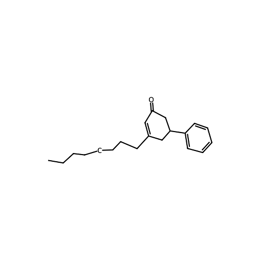 CCCCCCCCC1=CC(=O)CC(c2ccccc2)C1